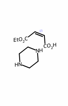 C1CNCCN1.CCOC(=O)/C=C\C(=O)O